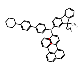 CC1(C)c2ccccc2-c2ccc(N(c3ccc(-c4ccc(C5CCCCC5)cc4)cc3)c3ccc(-c4cccc5cccc(-c6ccccc6)c45)cc3)cc21